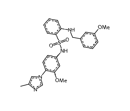 COc1cccc(CNc2ccccc2S(=O)(=O)Nc2ccc(-n3cnc(C)c3)c(OC)c2)c1